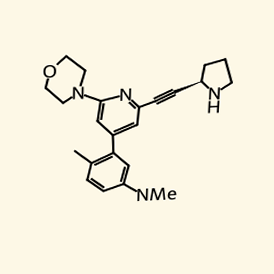 CNc1ccc(C)c(-c2cc(C#C[C@H]3CCCN3)nc(N3CCOCC3)c2)c1